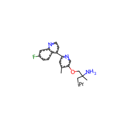 Cc1cc(-c2ccnc3cc(F)ccc23)ncc1OCC(C)(N)CC(C)C